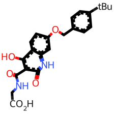 CC(C)(C)c1ccc(COc2ccc3c(O)c(C(=O)NCC(=O)O)c(=O)[nH]c3c2)cc1